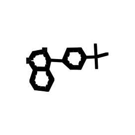 CC(C)(C)c1ccc(-c2ncnc3ccccc23)cc1